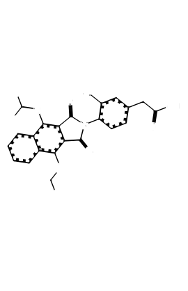 CCOc1c2c(c(OC(F)F)c3ccccc13)C(=O)N(c1ccc(CC(=O)O)cc1Cl)C2=O